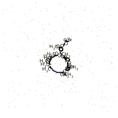 CO[C@H]1C[C@@H]2CC[C@@H](C)[C@@](O)(O2)C(=O)C(=O)N2CCCC[C@H]2C(=O)O[C@H](C(C)C[C@@H]2CC[C@@H](OCCOC(=O)CBr)[C@H](OC)C2)CC(=O)[C@H](C)/C=C(\C)[C@@H](O)[C@@H](OC)C(=O)[C@H](C)C[C@H](C)/C=C/C=C/C=C/1C